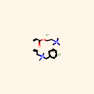 C=CC(=O)OCC[N+](C)(C)C.C=CC[N+](C)(C)Cc1ccccc1.[Cl-].[Cl-]